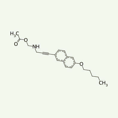 CCCCCOc1ccc2cc(C#CCNCOC(C)=O)ccc2c1